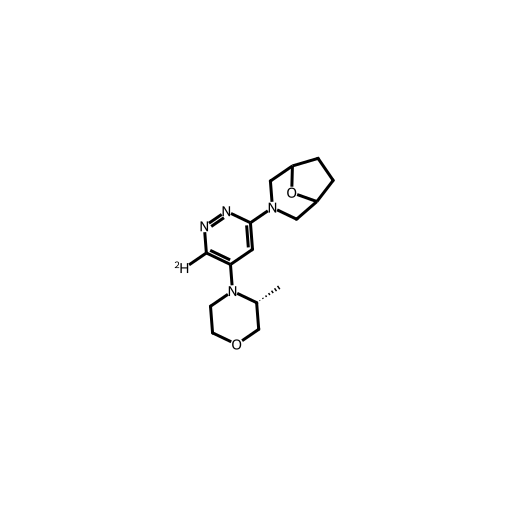 [2H]c1nnc(N2CC3CCC(C2)O3)cc1N1CCOC[C@H]1C